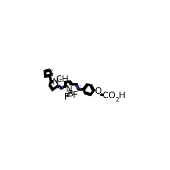 C[N+]1=C(c2cccs2)C=C/C1=C/c1ccc(/C=C/c2ccc(OCC(=O)O)cc2)n1B(F)F